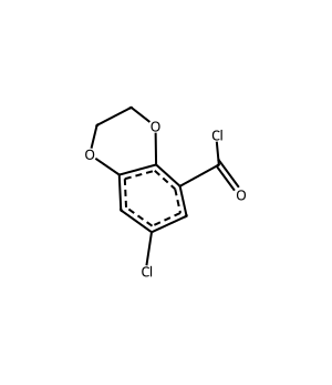 O=C(Cl)c1cc(Cl)cc2c1OCCO2